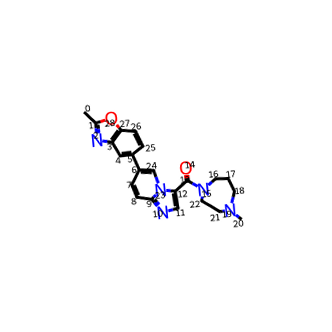 Cc1nc2cc(-c3ccc4ncc(C(=O)N5CCCN(C)CC5)n4c3)ccc2o1